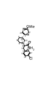 COc1cnc([C@H]2CCCN(C(Cc3ccc(Cl)cn3)C(N)=O)C2)cn1